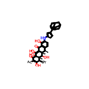 CC(=O)C1=C(O)C(C(C)C)[C@@]2(C)[C@H](O)[C@]3(C)C(=C(O)[C@@]2(O)C1=O)C(=O)c1c(ccc(NC2=CC(C4C5CC6CC(C5)CC4C6)=CC2)c1O)[C@H]3C